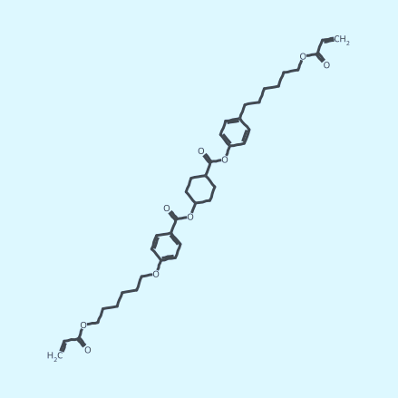 C=CC(=O)OCCCCCCOc1ccc(C(=O)OC2CCC(C(=O)Oc3ccc(CCCCCCOC(=O)C=C)cc3)CC2)cc1